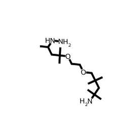 CC(CC(C)(C)OCCOCC(C)(C)CC(C)(C)N)NN